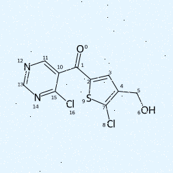 O=C(c1cc(CO)c(Cl)s1)c1cncnc1Cl